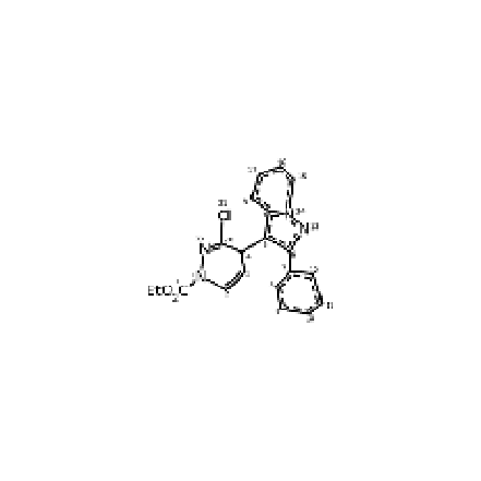 CCOC(=O)N1C=CC(c2c(-c3ccccc3)nn3ccccc23)C(Cl)=N1